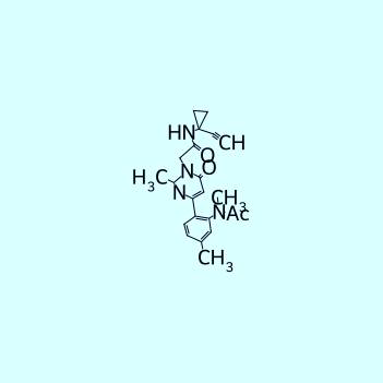 C#CC1(NC(=O)Cn2c(C)nc(-c3ccc(C)cc3N(C)C(C)=O)cc2=O)CC1